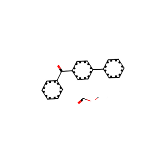 COC=O.O=C(c1ccccc1)c1ccc(-c2ccccc2)cc1